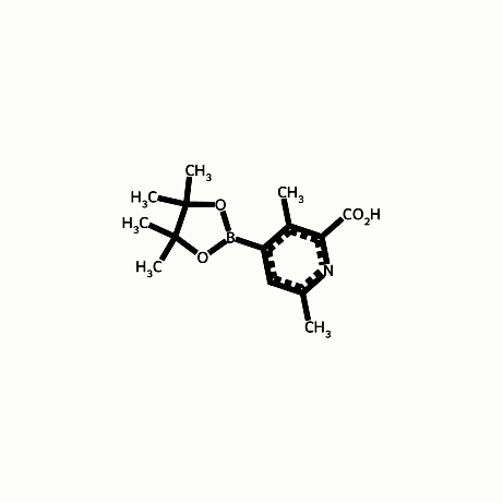 Cc1cc(B2OC(C)(C)C(C)(C)O2)c(C)c(C(=O)O)n1